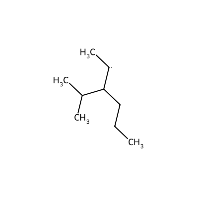 C[CH]C(CCC)C(C)C